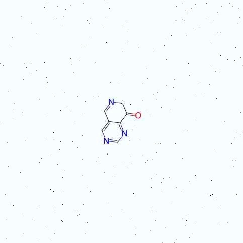 O=C1CN=Cc2cncnc21